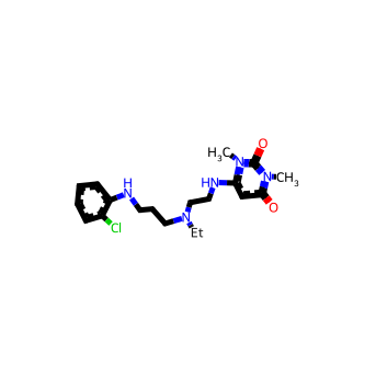 CCN(CCCNc1ccccc1Cl)CCNc1cc(=O)n(C)c(=O)n1C